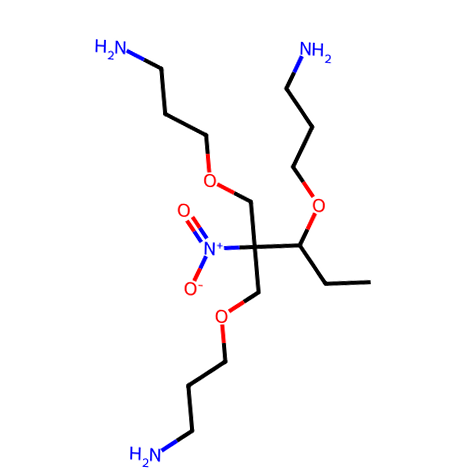 CCC(OCCCN)C(COCCCN)(COCCCN)[N+](=O)[O-]